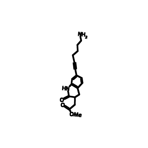 COC(=O)CC1Cc2ccc(C#CCCCCN)cc2NC1=O